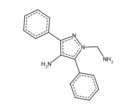 NCn1nc(-c2ccccc2)c(N)c1-c1ccccc1